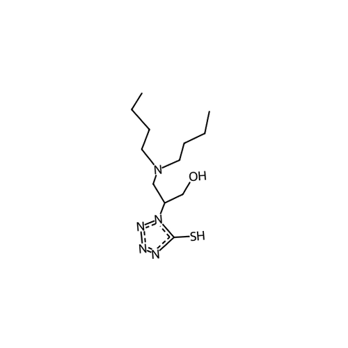 CCCCN(CCCC)CC(CO)n1nnnc1S